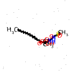 CCC=CCC=CCC=CCC=CCC=CCC=CCC(=O)OCC(C)(C)[C@@H](O)C(=O)NCCC(=O)NCCSC(C)=O